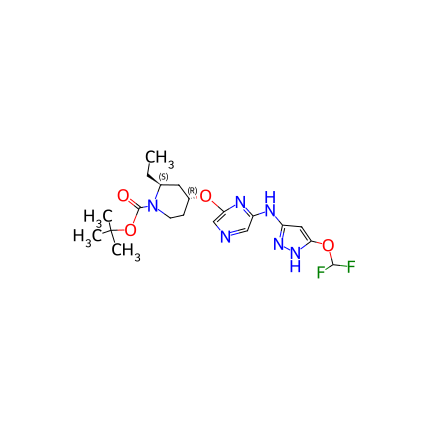 CC[C@H]1C[C@H](Oc2cncc(Nc3cc(OC(F)F)[nH]n3)n2)CCN1C(=O)OC(C)(C)C